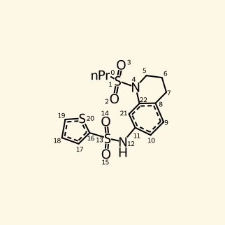 CCCS(=O)(=O)N1CCCc2ccc(NS(=O)(=O)c3cccs3)cc21